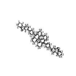 c1ccc2c(c1)sc1cc(-c3ccc(-c4c5ccccc5c(-c5c6ccccc6c(-c6ccc(-c7ccc8c(c7)sc7ccccc78)cc6)c6ccccc56)c5ccccc45)cc3)ccc12